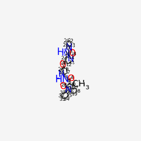 CC1=C(C(=O)Nc2ccc(Oc3ccnc(NC(=O)N4CCCC4)c3)cn2)C(=O)N(c2ccccc2)C12CCCC2